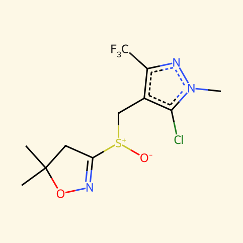 Cn1nc(C(F)(F)F)c(C[S+]([O-])C2=NOC(C)(C)C2)c1Cl